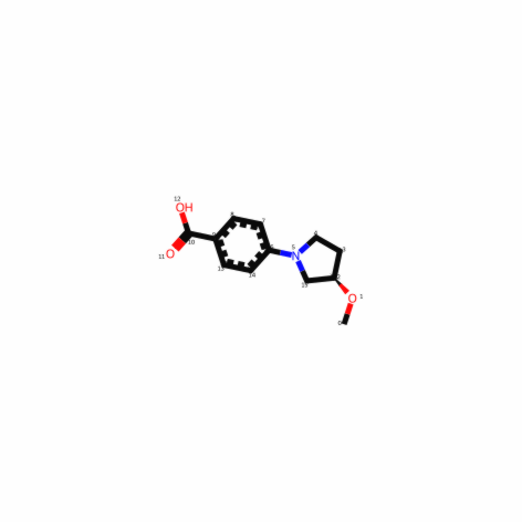 CO[C@@H]1CCN(c2ccc(C(=O)O)cc2)C1